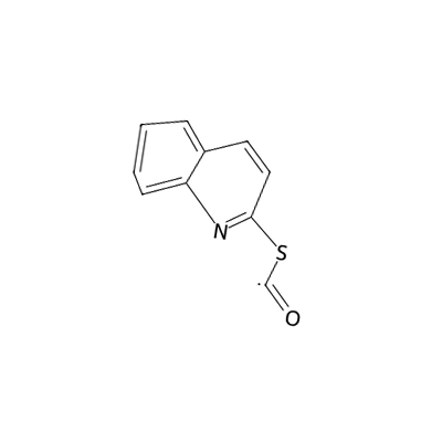 O=[C]Sc1ccc2ccccc2n1